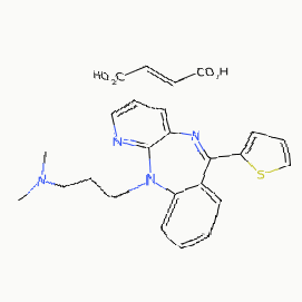 CN(C)CCCN1c2ccccc2C(c2cccs2)=Nc2cccnc21.O=C(O)/C=C/C(=O)O